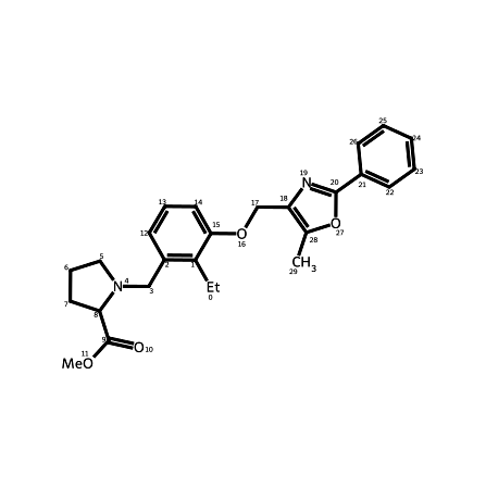 CCc1c(CN2CCCC2C(=O)OC)cccc1OCc1nc(-c2ccccc2)oc1C